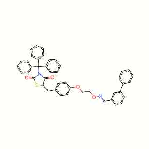 O=C1SC(Cc2ccc(OCCON=Cc3cccc(-c4ccccc4)c3)cc2)C(=O)N1C(c1ccccc1)(c1ccccc1)c1ccccc1